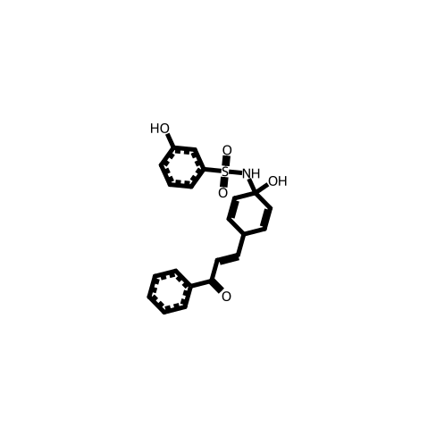 O=C(/C=C/C1C=CC(O)(NS(=O)(=O)c2cccc(O)c2)C=C1)c1ccccc1